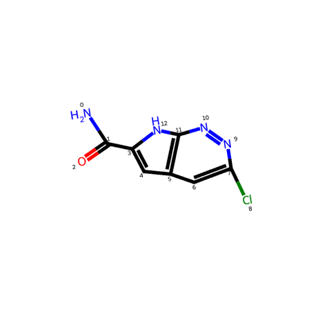 NC(=O)c1cc2cc(Cl)nnc2[nH]1